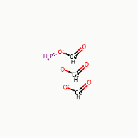 [O]=[GeH][O-].[O]=[GeH][O-].[O]=[GeH][O-].[PH6+3]